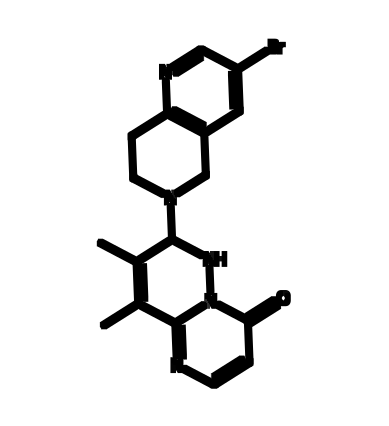 CC1=C(C)C(N2CCc3ncc(Br)cc3C2)Nn2c1nccc2=O